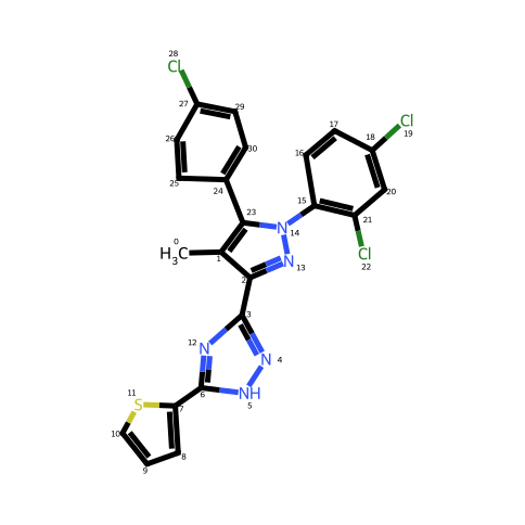 Cc1c(-c2n[nH]c(-c3cccs3)n2)nn(-c2ccc(Cl)cc2Cl)c1-c1ccc(Cl)cc1